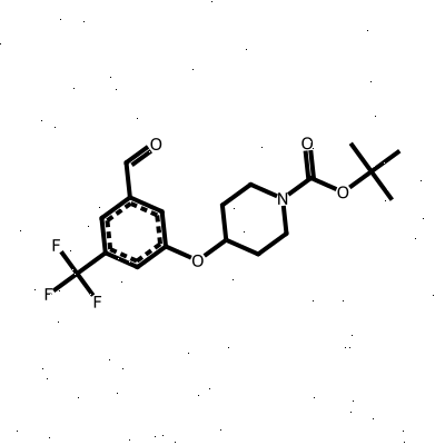 CC(C)(C)OC(=O)N1CCC(Oc2cc(C=O)cc(C(F)(F)F)c2)CC1